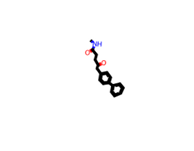 CNC(=O)CCC(=O)Cc1ccc(-c2ccccc2)cc1